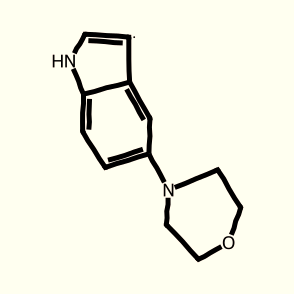 [c]1c[nH]c2ccc(N3CCOCC3)cc12